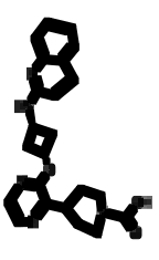 O=C(O)N1CCC(c2nccnc2O[C@H]2C[C@H](Nc3ccc4ccccc4n3)C2)CC1